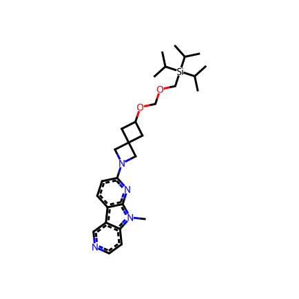 CC(C)[Si](COCOC1CC2(C1)CN(c1ccc3c4cnccc4n(C)c3n1)C2)(C(C)C)C(C)C